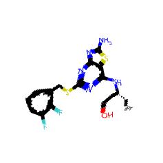 CC(C)C[C@H](CO)Nc1nc(SCc2cccc(F)c2F)nc2nc(N)sc12